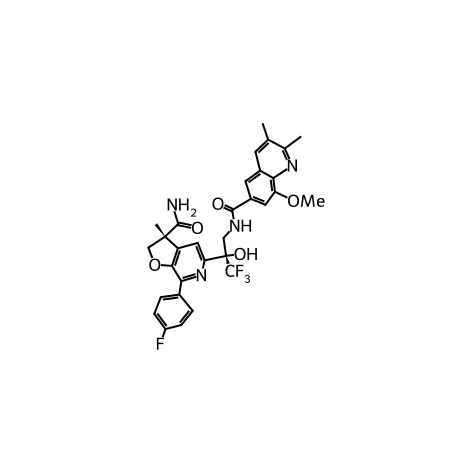 COc1cc(C(=O)NC[C@](O)(c2cc3c(c(-c4ccc(F)cc4)n2)OC[C@]3(C)C(N)=O)C(F)(F)F)cc2cc(C)c(C)nc12